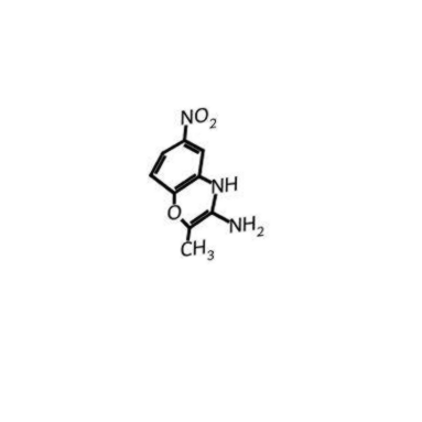 CC1=C(N)Nc2cc([N+](=O)[O-])ccc2O1